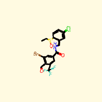 CC[S+]([O-])c1ccc(Cl)cc1CNC(=O)c1cc(Br)c(C=O)c(C(F)(F)F)c1